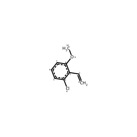 C=Cc1c(Cl)cccc1OC